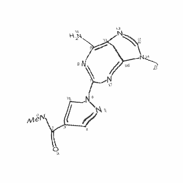 CNC(=O)c1cnn(-c2nc(N)c3ncn(C)c3n2)c1